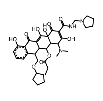 CCC(=O)OC1C2C(=C(O)C3(O)C(=O)C(C(=O)NCN4CCCC4)=C(O)C(N(C)C)C13)C(=O)c1c(O)cccc1C2COC1CCCC1